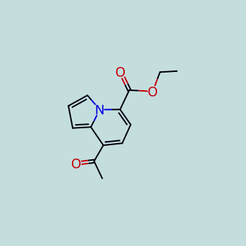 CCOC(=O)c1ccc(C(C)=O)c2cccn12